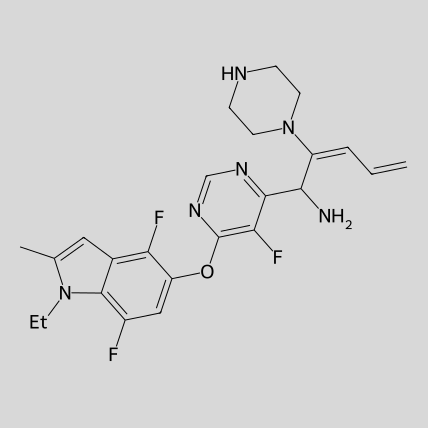 C=C/C=C(\C(N)c1ncnc(Oc2cc(F)c3c(cc(C)n3CC)c2F)c1F)N1CCNCC1